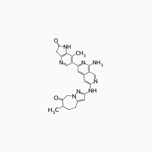 Cc1c(-c2cc3cc(Nc4cc5n(n4)CC(=O)C(C)CC5)ncc3c(N)n2)cnc2c1NC(=O)C2